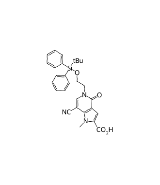 Cn1c(C(=O)O)cc2c(=O)n(CCO[Si](c3ccccc3)(c3ccccc3)C(C)(C)C)cc(C#N)c21